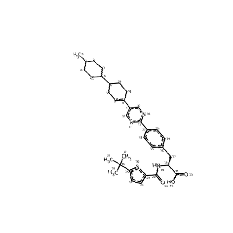 CC1CCC(C2CC=C(c3cnc(-c4ccc(C[C@H](NC(=O)c5ccc(C(C)(C)C)s5)C(=O)O)cc4)nc3)CC2)CC1